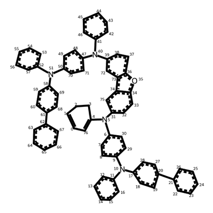 C1=CCCC(N(c2ccc(N(c3ccccc3)c3ccc(-c4ccccc4)cc3)cc2)c2ccc3oc4ccc(N(c5ccccc5)c5ccc(N(c6ccccc6)c6ccc(-c7ccccc7)cc6)cc5)cc4c3c2)=C1